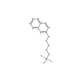 [CH2]C(F)(F)CCCCCc1ccc2ccccc2c1